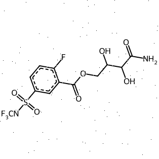 NC(=O)C(O)C(O)COC(=O)c1cc(S(=O)(=O)NC(F)(F)F)ccc1F